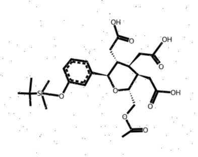 CC(=O)OC[C@@H]1O[C@@H](c2cccc(O[Si](C)(C)C(C)(C)C)c2)[C@H](CC(=O)O)[C@@H](CC(=O)O)[C@H]1CC(=O)O